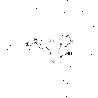 CC(C)(C)NC[C@H](O)c1cccc2[nH]c3ncccc3c12